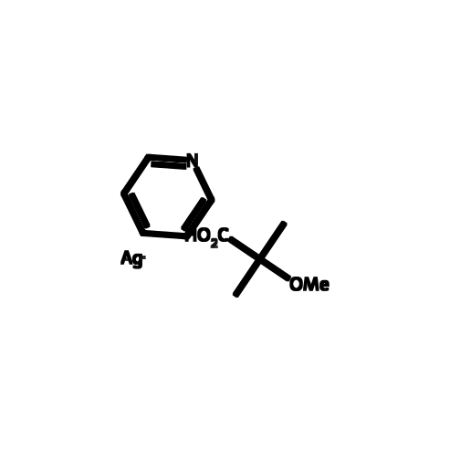 COC(C)(C)C(=O)O.[Ag].c1ccncc1